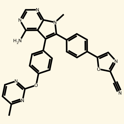 Cc1ccnc(Oc2ccc(-c3c(-c4ccc(-c5cnc(C#N)o5)cc4)n(C)c4ncnc(N)c34)cc2)n1